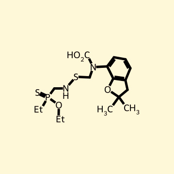 CCOP(=S)(CC)CNSCN(C(=O)O)c1cccc2c1OC(C)(C)C2